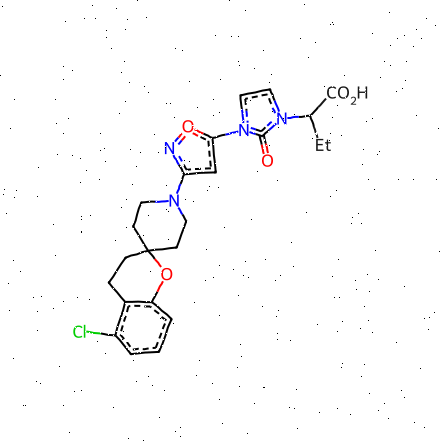 CCC(C(=O)O)n1ccn(-c2cc(N3CCC4(CCc5c(Cl)cccc5O4)CC3)no2)c1=O